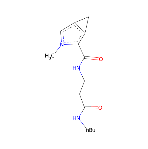 CCCCNC(=O)CCNC(=O)c1c2c(cn1C)C2